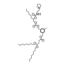 [CH2]c1cc(COC(=O)CCC(OCCCCCCCC)OCCCCCCCC)cc(COC(=O)OCC(CCCCCC)OC(=O)NCCN2CCCC2)c1